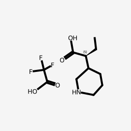 CC[C@H](C(=O)O)C1CCCNC1.O=C(O)C(F)(F)F